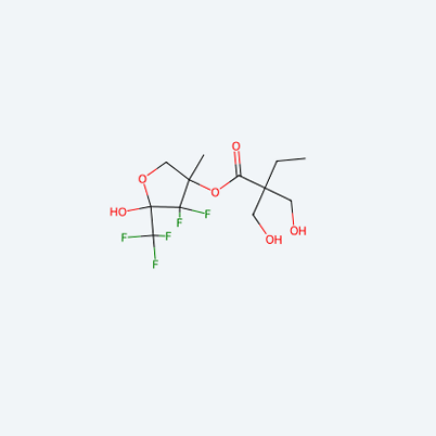 CCC(CO)(CO)C(=O)OC1(C)COC(O)(C(F)(F)F)C1(F)F